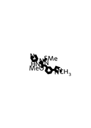 COc1c(Nc2ccncc2)nc(SC)nc1-c1cccc(-c2ccn(C)n2)c1